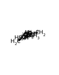 C=CCO[C@H]1CC[C@H]2[C@@H]3CCC4CC(S)(CC=C)CC[C@]4(C)[C@H]3CC[C@]12C